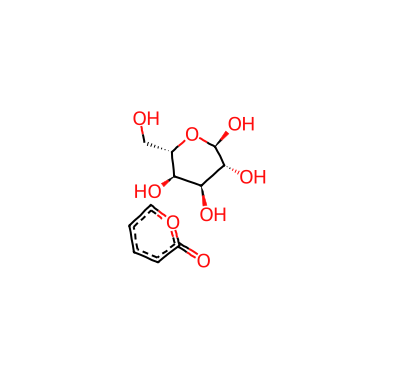 O=c1cccco1.OC[C@@H]1O[C@@H](O)[C@H](O)[C@@H](O)[C@H]1O